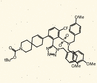 COc1ccc(CN(Cc2ccc(OC)cc2)S(=O)(=O)c2c(C(F)(F)F)ccc(C3=CCC4(CC3)CCN(C(=O)OC(C)(C)C)CC4)c2-c2nnnn2Cc2ccc(OC)cc2)cc1